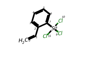 C=Cc1ccccc1[Si](Cl)(Cl)Cl